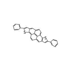 c1ccc(-c2cc3cc4ccc5c6sc(-c7ccccc7)cc6cc6ccc(c3s2)c4c65)cc1